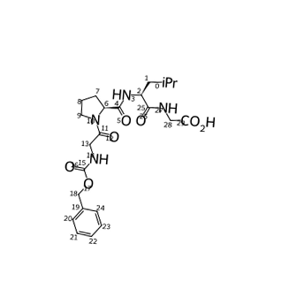 CC(C)C[C@H](NC(=O)[C@@H]1CCCN1C(=O)CNC(=O)OCc1ccccc1)C(=O)NCC(=O)O